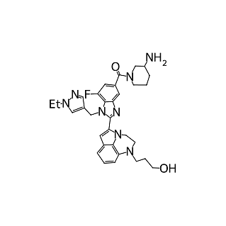 CCn1cc(Cn2c(-c3cc4cccc5c4n3CCN5CCCO)nc3cc(C(=O)N4CCCC(N)C4)cc(F)c32)cn1